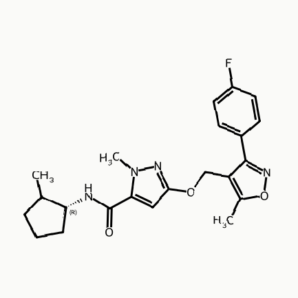 Cc1onc(-c2ccc(F)cc2)c1COc1cc(C(=O)N[C@@H]2CCCC2C)n(C)n1